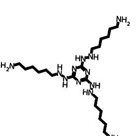 NCCCCCCNNc1nc(NNCCCCCCN)nc(NNCCCCCCN)n1